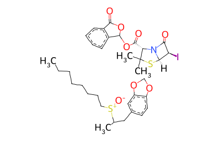 CC1(C)S[C@@H]2[C@H](I)C(=O)N2[C@H]1C(=O)OC1OC(=O)c2ccccc21.CCCCCCCC[S+]([O-])C(C)Cc1ccc2c(c1)OCO2